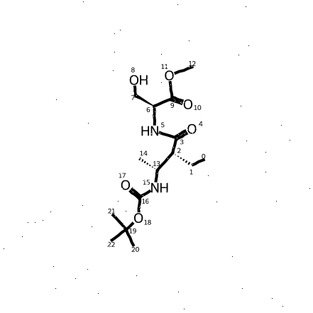 CC[C@@H](C(=O)N[C@@H](CO)C(=O)OC)[C@@H](C)NC(=O)OC(C)(C)C